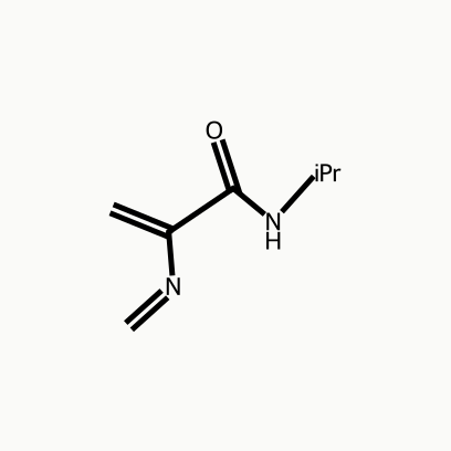 C=NC(=C)C(=O)NC(C)C